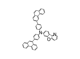 c1ccc2c(c1)ccc1ccc(-c3ccc(N(c4ccc(-c5cc6ccccc6c6ccccc56)cc4)c4ccc5c(c4)oc4cccnc45)cc3)cc12